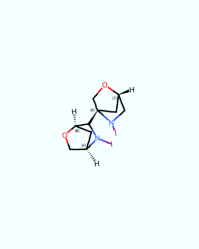 IN1C([C@]23CO[C@H](CN2I)C3)[C@H]2C[C@@H]1CO2